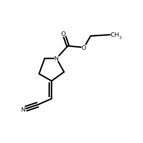 CCOC(=O)N1CCC(=CC#N)C1